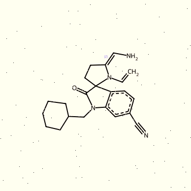 C=CN1/C(=C\N)CCC12C(=O)N(CC1CCCCC1)c1cc(C#N)ccc12